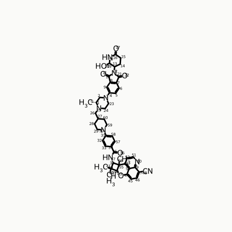 C[C@@H]1CN(c2ccc3c(c2)C(=O)N(C2CCC(=O)NC2O)C3=O)CCN1CC1CCN(c2ccc(C(=O)N[C@H]3C(C)(C)[C@@H]4Oc5ccc(C#N)c6nccc(c56)C34C)cc2)CC1